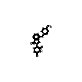 NC1CCN(Cc2cccc3c2CN(C2CCC(=O)NC2=O)C3=O)CC1